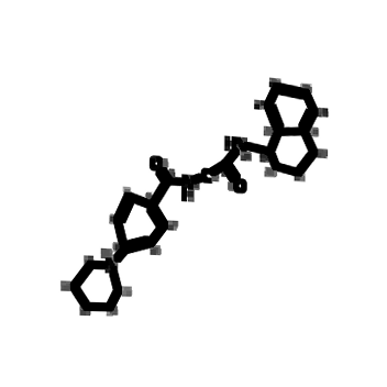 O=C(CNC(=O)c1ccc(N2CCCCC2)cc1)NC1CCCc2ccccc21